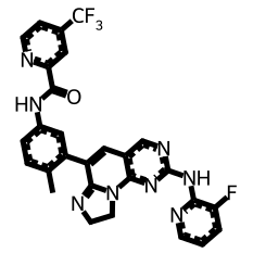 Cc1ccc(NC(=O)c2cc(C(F)(F)F)ccn2)cc1C1=Cc2cnc(Nc3ncccc3F)nc2N2CCN=C12